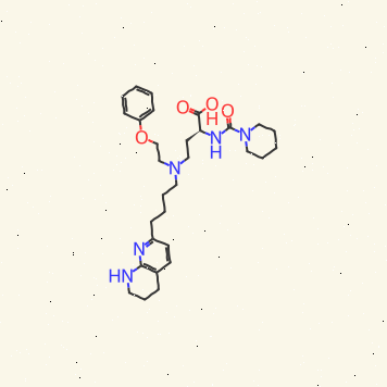 O=C(O)[C@H](CCN(CCCCc1ccc2c(n1)NCCC2)CCOc1ccccc1)NC(=O)N1CCCCC1